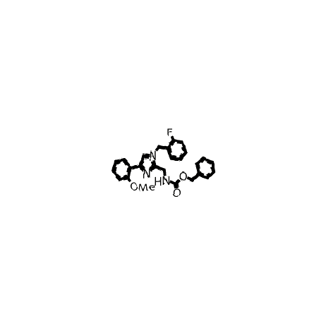 COc1ccccc1-c1cn(Cc2ccccc2F)c(CNC(=O)OCc2ccccc2)n1